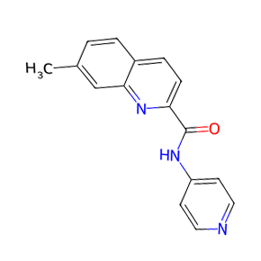 Cc1ccc2ccc(C(=O)Nc3ccncc3)nc2c1